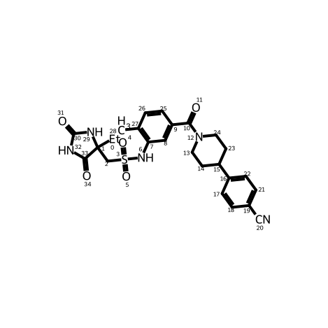 CCC1(CS(=O)(=O)Nc2cc(C(=O)N3CCC(c4ccc(C#N)cc4)CC3)ccc2C)NC(=O)NC1=O